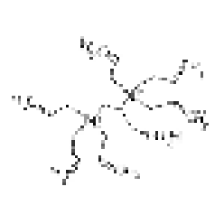 C=CC[N+](CC=C)(CC=C)CC(CC(=O)O)[N+](CC=C)(CC=C)CC=C